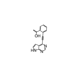 C=C(O)c1ccccc1C#Cc1ncnc2[nH]ccc12